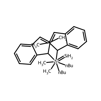 CCC[CH2][Zr]([CH3])([CH3])(=[SiH2])([CH2]CCC)([CH]1C(C)=Cc2ccccc21)[CH]1C(C)=Cc2ccccc21